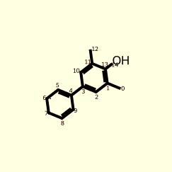 Cc1cc(C2=C[CH]CC=C2)cc(C)c1O